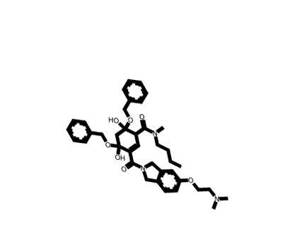 CCCCN(C)C(=O)C1C=C(C(=O)N2Cc3ccc(OCCN(C)C)cc3C2)C(O)(OCc2ccccc2)CC1(O)OCc1ccccc1